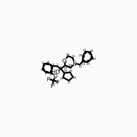 OC(Cc1ccccc1OC(F)(F)F)(C1CCCC1)C1CN(Cc2ccccc2)CCO1